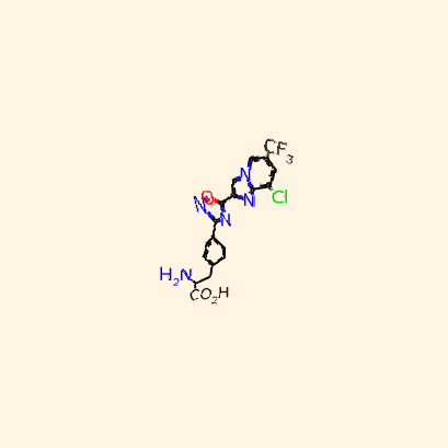 NC(Cc1ccc(-c2noc(-c3cn4cc(C(F)(F)F)cc(Cl)c4n3)n2)cc1)C(=O)O